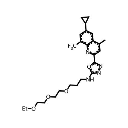 CCOCCOCCOCCCNc1nnc(-c2cc(C)c3cc(C4CC4)cc(C(F)(F)F)c3n2)o1